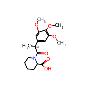 COc1cc([C@H](C)C(=O)N2CCCCC2C(=O)O)cc(OC)c1OC